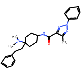 Cc1nn(-c2ccccc2)nc1C(=O)NC1CCC(CCc2ccccc2)(N(C)C)CC1